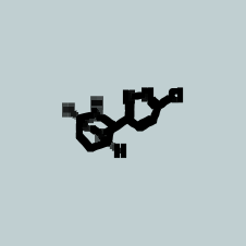 Clc1ccc(N2C[C@H]3CC[C@@H]2CN3)nn1